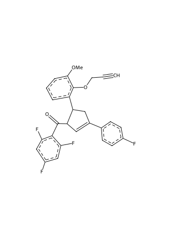 C#CCOc1c(OC)cccc1C1CC(c2ccc(F)cc2)=CC1C(=O)c1c(F)cc(F)cc1F